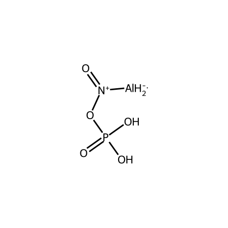 O=[N+]([AlH2-])OP(=O)(O)O